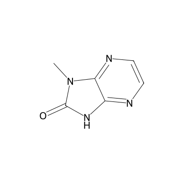 Cn1c(=O)[nH]c2nccnc21